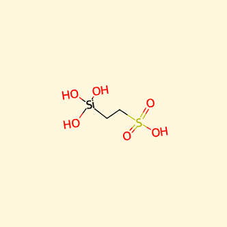 O=S(=O)(O)CC[Si](O)(O)O